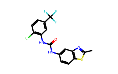 Cc1nc2cc(NC(=O)Nc3cc(C(F)(F)F)ccc3Cl)ccc2s1